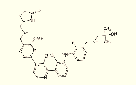 COc1nc(-c2ccnc(-c3cccc(Nc4cccc(CNCC(C)(C)O)c4F)c3Cl)c2Cl)ccc1CNC[C@@H]1CCC(=O)N1